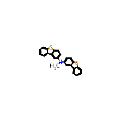 CN(c1ccc2sc3ccccc3c2c1)c1ccc2sc3ccccc3c2c1